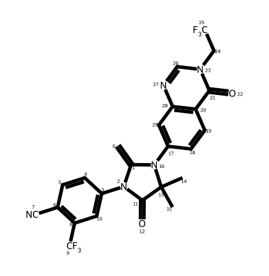 C=C1N(c2ccc(C#N)c(C(F)(F)F)c2)C(=O)C(C)(C)N1c1ccc2c(=O)n(CC(F)(F)F)cnc2c1